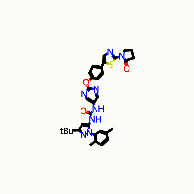 Cc1ccc(C)c(-n2nc(C(C)(C)C)cc2NC(=O)Nc2cnc(Oc3ccc(-c4cnc(N5CCCC5=O)s4)cc3)nc2)c1